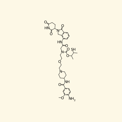 COc1cc(C(=O)NC2CCN(CCOCCN(CC(=O)Nc3cccc4c3CN(C3CCC(=O)NC3=O)C4=O)C(=O)OC(C)C(C)S)CC2)ccc1N